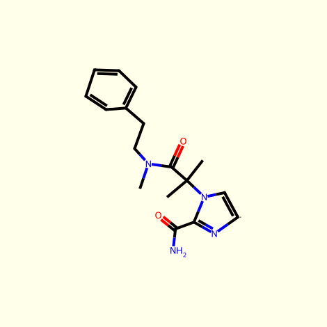 CN(CCc1ccccc1)C(=O)C(C)(C)n1c[c]nc1C(N)=O